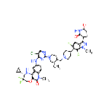 C[C@H]1CN(c2ncc(Cl)c(Nc3ccc4c(c3)c3c(c(=O)n4C)OCC(F)(F)[C@H](C4CC4)N3)n2)CC[C@H]1CN1CCC(c2c(F)cc3c(C4CCC(=O)NC4=O)nn(C)c3c2F)CC1